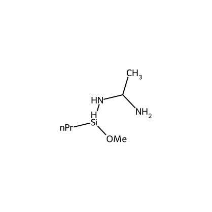 CCC[SiH](NC(C)N)OC